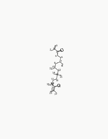 C=C(C)C(=O)CCC(C)CC(C)CC(C)(C)CCN(C)C(=O)C(=C)C